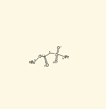 CCCCOC(=O)CS(=O)(=O)C(C)C